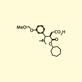 COCOc1cccc(C(/C(=C/C(=O)O)C(=O)OC2CCCCCC2)N(C)C)c1